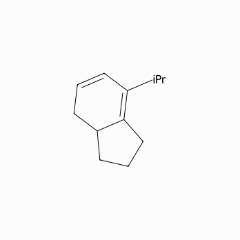 CC(C)C1=C2CCCC2CC=C1